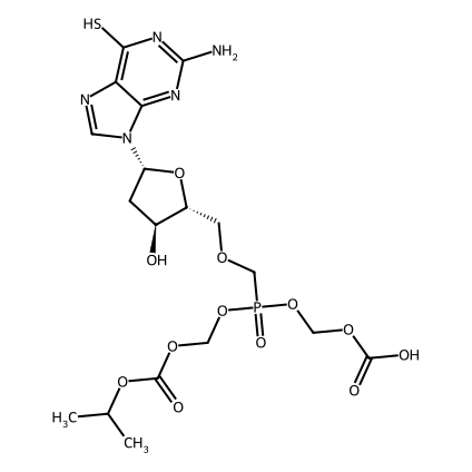 CC(C)OC(=O)OCOP(=O)(COC[C@H]1O[C@@H](n2cnc3c(S)nc(N)nc32)C[C@@H]1O)OCOC(=O)O